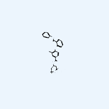 CC1(C)CC(NC(=O)c2ccc(Oc3ccccc3C(=O)Nc3ccccc3)c(Cl)c2)CC(C)(C)N1